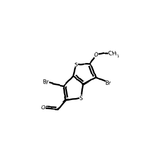 COc1sc2c(Br)c(C=O)sc2c1Br